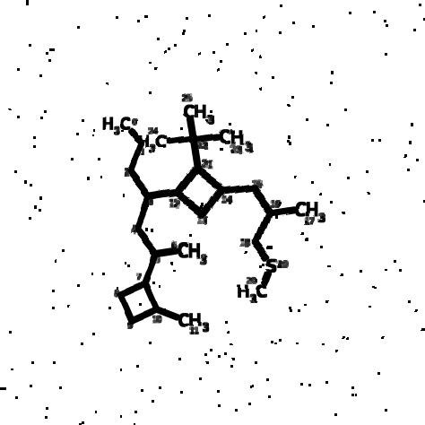 CCCC(CC(C)C1CCC1C)C1CC(CC(C)CSC)C1C(C)(C)C